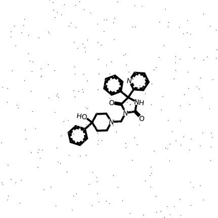 O=C1NC(c2ccccc2)(c2ccccn2)C(=O)N1CN1CCC(O)(c2ccccc2)CC1